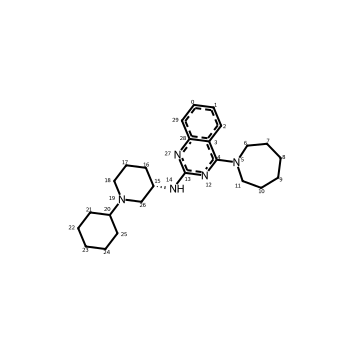 c1ccc2c(N3CCCCCC3)nc(N[C@H]3CCCN(C4CCCCC4)C3)nc2c1